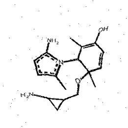 CC1=C(O)C=CC(C)(OCC2CC2N)C1n1c(C)ccc1N